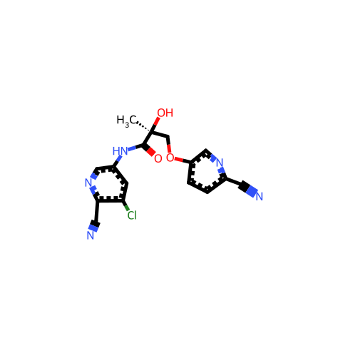 C[C@](O)(COc1ccc(C#N)nc1)C(=O)Nc1cnc(C#N)c(Cl)c1